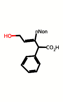 CCCCCCCCCC(=CCO)C(C(=O)O)c1ccccc1